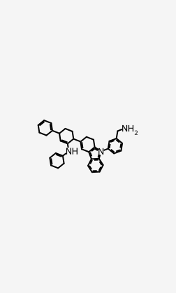 NCc1cccc(-n2c3c(c4ccccc42)C=C(C2CCC(C4=CC=CCC4)C=C2NC2=CC=CCC2)CC3)c1